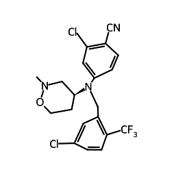 CN1C[C@@H](N(Cc2cc(Cl)ccc2C(F)(F)F)c2ccc(C#N)c(Cl)c2)CCO1